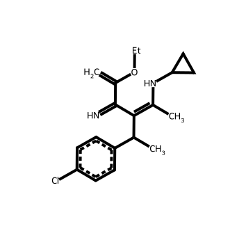 C=C(OCC)C(=N)/C(=C(/C)NC1CC1)C(C)c1ccc(Cl)cc1